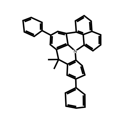 CC1(C)c2cc(-c3ccccc3)ccc2N2c3c(cc(-c4ccccc4)cc31)-c1cccc3cccc2c13